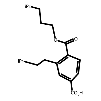 CC(C)CCCOC(=O)c1ccc(C(=O)O)cc1CCC(C)C